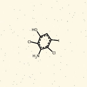 Nc1c(Cl)c(O)cc(I)c1Cl